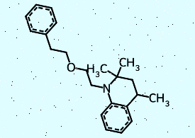 CC1CC(C)(C)N(CCOCCc2ccccc2)c2ccccc21